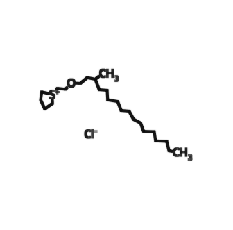 CCCCCCCCCCCCCCC(C)CCOCC[S+]1CCCC1.[Cl-]